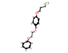 ClCCCOc1ccc(OCCOc2ccccc2)cc1